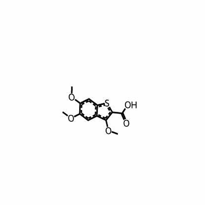 COc1cc2sc(C(=O)O)c(OC)c2cc1OC